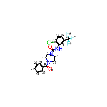 O=C(Nc1cc(C(F)(F)F)ccc1Cl)N1CCN(C(=O)c2ccccc2)CC1